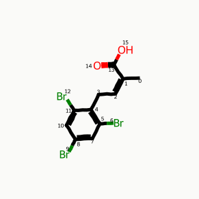 CC(=CCc1c(Br)cc(Br)cc1Br)C(=O)O